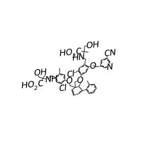 Cc1cc(OCC2(COc3cc(OCc4cncc(C#N)c4)c(CNC(C)(CO)C(=O)O)cc3Cl)C=CC=C(c3ccccc3C)C2C)c(Cl)cc1CNC(C)(CO)C(=O)O